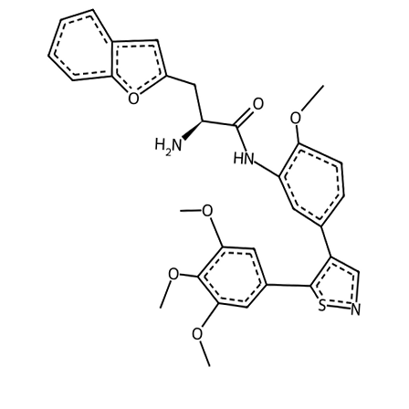 COc1ccc(-c2cnsc2-c2cc(OC)c(OC)c(OC)c2)cc1NC(=O)[C@@H](N)Cc1cc2ccccc2o1